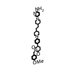 COc1ccc(CN2C(=O)CCC(c3ccc(N4CCC(CCC5CCN(c6ccc(N)nc6)CC5)CC4)cc3)C2=O)cc1